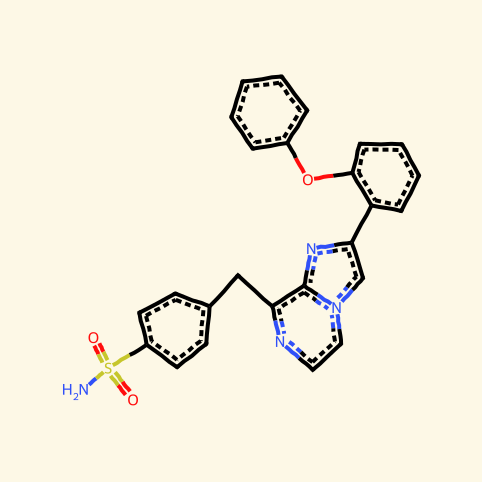 NS(=O)(=O)c1ccc(Cc2nccn3cc(-c4ccccc4Oc4ccccc4)nc23)cc1